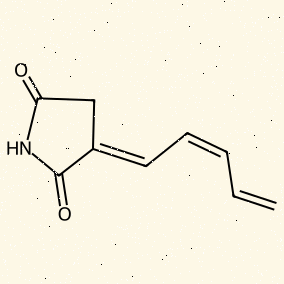 C=C/C=C\C=C1/CC(=O)NC1=O